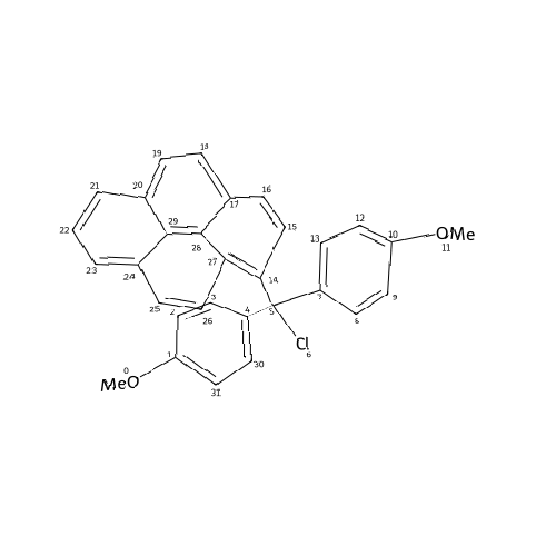 COc1ccc(C(Cl)(c2ccc(OC)cc2)c2ccc3ccc4cccc5ccc2c3c45)cc1